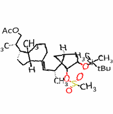 CC(=O)OC[C@@H](C)[C@H]1CC[C@H]2/C(=C/[C@@H](C)[C@]34C[C@H]3CC(O[Si](C)(C)C(C)(C)C)C4OS(C)(=O)=O)CCCC12C